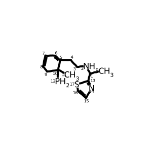 CC(NCCC1=CC=CCC1(C)P)c1nccs1